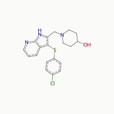 OC1CCN(Cc2[nH]c3ncccc3c2Sc2ccc(Cl)cc2)CC1